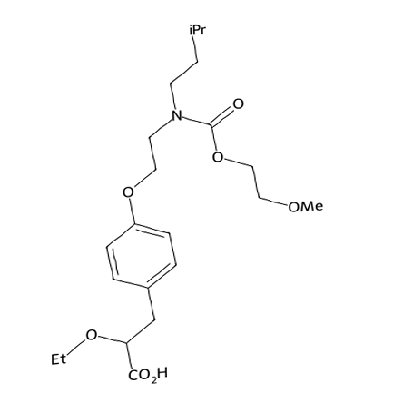 CCOC(Cc1ccc(OCCN(CCC(C)C)C(=O)OCCOC)cc1)C(=O)O